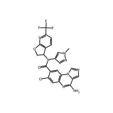 Cn1cc(N(C(=O)c2cc3c(cc2Cl)nc(N)c2cncn23)C2COc3nc(C(F)(F)F)ccc32)cn1